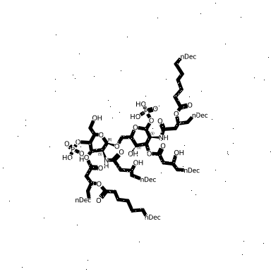 CCCCCCCCCCCCCCCC(=O)OC(CCCCCCCCCCC)CC(=O)N[C@@H]1C(OP(=O)(O)O)OC(CO[C@@H]2OC(CO)C(OP(=O)(O)O)C(OC(=O)CC(CCCCCCCCCCC)OC(=O)CCCCCCCCCCCCCCC)[C@@H]2NC(=O)CC(O)CCCCCCCCCCC)[C@@H](O)C1OC(=O)CC(O)CCCCCCCCCCC